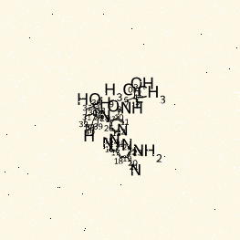 CC(C)(O)C(F)CNC(=O)c1cnc(-n2ncc3cc(C#N)c(N)nc32)cc1NC12CC3C[C@H](CC(O)(C3)C1)C2